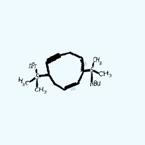 CCCCS(C)(C)C1=C/CC#CC(S(C)(C)CCC)C/C=C\1